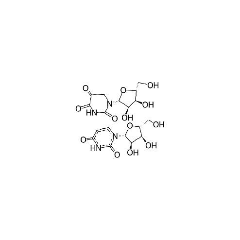 O=C1CN([C@@H]2O[C@H](CO)[C@@H](O)[C@H]2O)C(=O)NC1=O.O=c1ccn([C@@H]2O[C@H](CO)[C@@H](O)[C@H]2O)c(=O)[nH]1